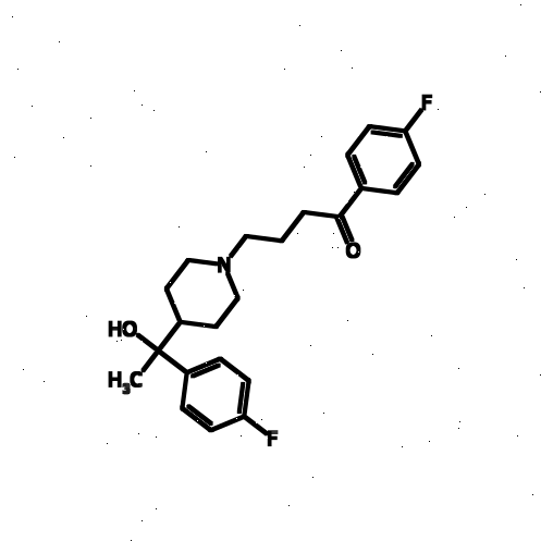 CC(O)(c1ccc(F)cc1)C1CCN(CCCC(=O)c2ccc(F)cc2)CC1